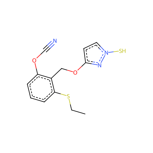 CCSc1cccc(OC#N)c1COc1ccn(S)n1